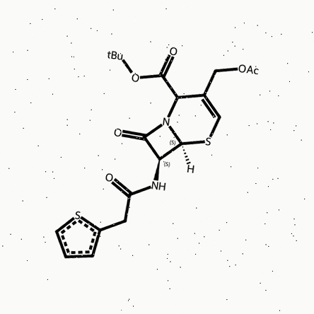 CC(=O)OCC1=CS[C@H]2[C@@H](NC(=O)Cc3cccs3)C(=O)N2C1C(=O)OC(C)(C)C